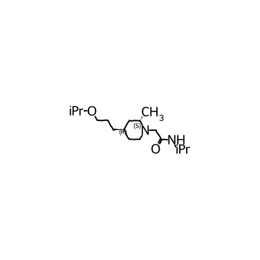 CC(C)NC(=O)CN1CC[C@@H](CCCOC(C)C)C[C@@H]1C